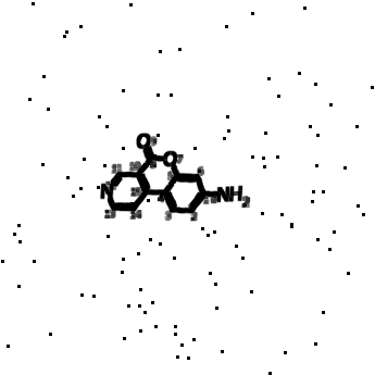 Nc1ccc2c(c1)oc(=O)c1cnccc12